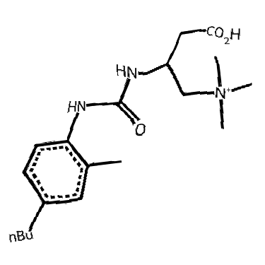 CCCCc1ccc(NC(=O)NC(CC(=O)O)C[N+](C)(C)C)c(C)c1